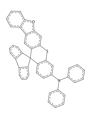 c1ccc(N(c2ccccc2)c2ccc3c(c2)Sc2cc4oc5ccccc5c4cc2C32c3ccccc3-c3ccccc32)cc1